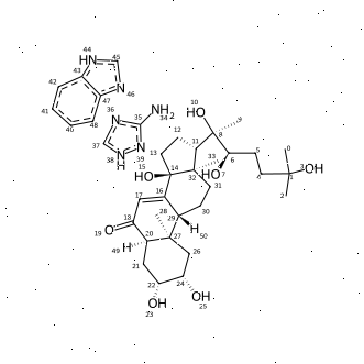 CC(C)(O)CC[C@@H](O)[C@](C)(O)[C@H]1CC[C@@]2(O)C3=CC(=O)[C@@H]4C[C@@H](O)[C@@H](O)C[C@]4(C)[C@H]3CC[C@]12C.Nc1nc[nH]n1.c1ccc2[nH]cnc2c1